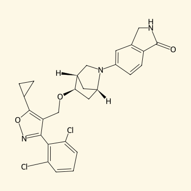 O=C1NCc2cc(N3C[C@@H]4C[C@H]3C[C@H]4OCc3c(-c4c(Cl)cccc4Cl)noc3C3CC3)ccc21